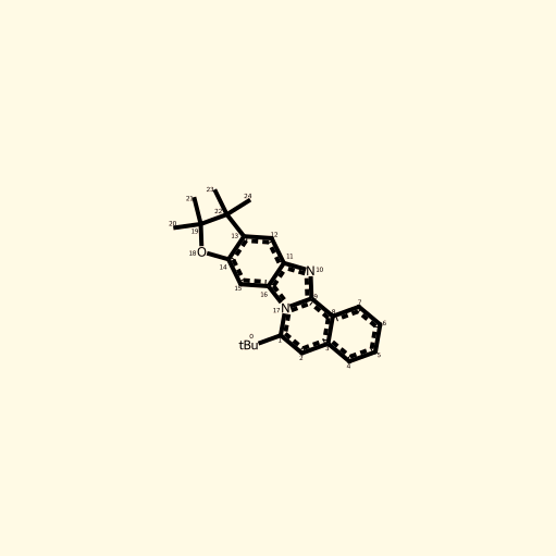 CC(C)(C)c1cc2ccccc2c2nc3cc4c(cc3n12)OC(C)(C)C4(C)C